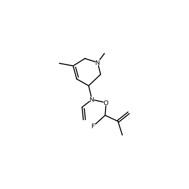 C=CN(OC(F)C(=C)C)C1C=C(C)CN(C)C1